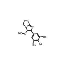 CC(C)(C)c1cc(-c2nc3n(c2SC#N)CCS3)cc(C(C)(C)C)c1O